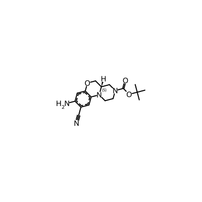 CC(C)(C)OC(=O)N1CCN2c3cc(C#N)c(N)cc3OC[C@@H]2C1